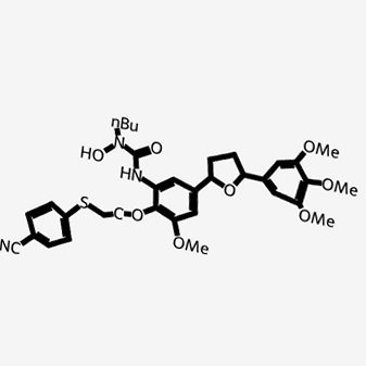 CCCCN(O)C(=O)Nc1cc(C2CCC(c3cc(OC)c(OC)c(OC)c3)O2)cc(OC)c1OCCSc1ccc(C#N)cc1